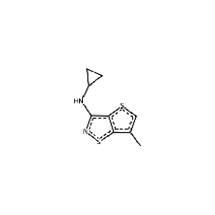 Cc1csc2c(NC3CC3)nsc12